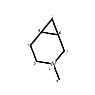 CN1CC[C]2CC2C1